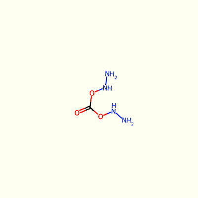 NNOC(=O)ONN